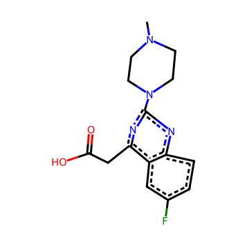 CN1CCN(c2nc(CC(=O)O)c3cc(F)ccc3n2)CC1